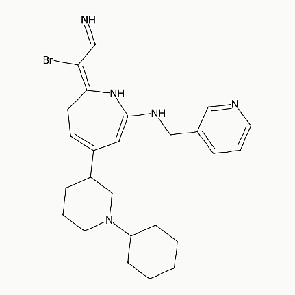 N=C/C(Br)=C1/CC=C(C2CCCN(C3CCCCC3)C2)C=C(NCc2cccnc2)N1